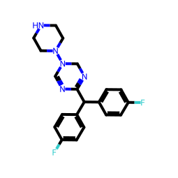 Fc1ccc(C(C2=NCN(N3CCNCC3)C=N2)c2ccc(F)cc2)cc1